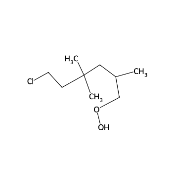 CC(COO)CC(C)(C)CCCl